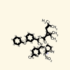 CC(C)=CC1C(C(=O)OC(C#N)c2cccc(Oc3ccccc3)c2)C1(C)C.O=[N+]([O-])/N=C1\NCCN1Cc1ccc(Cl)nc1